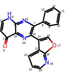 O=c1cc[nH]c2nc(-c3ccccc3)c(-c3coc4ncccc34)nc12